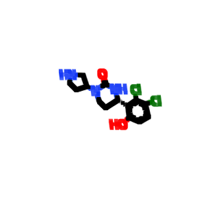 O=C1N[C@H](c2c(O)ccc(Cl)c2Cl)CCN1[C@H]1CCNC1